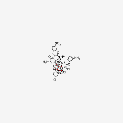 CC(C)N1CC2(C(N)=O)N(C(=O)C(C34CN(C(C)C)C(=O)C(Cc5ccc([N+](=O)[O-])cc5)N3C(=O)C(N)CN4S(=O)(=O)c3ccc(Cl)cc3Cl)CN2S(=O)(=O)c2ccc(Cl)cc2Cl)C(Cc2ccc(N)cc2)C1=O